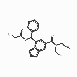 CCC(=O)OC(c1ccccc1)c1cc(C(=O)N(CC)CC)cc2cccn12